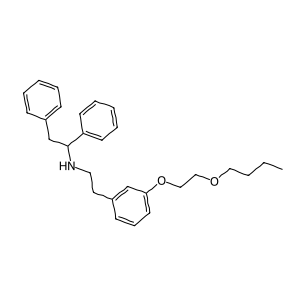 CCCCOCCOc1cccc(CCNC(Cc2ccccc2)c2ccccc2)c1